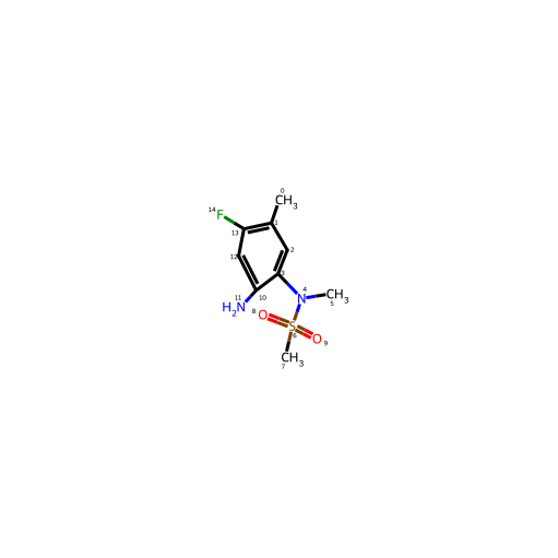 Cc1cc(N(C)S(C)(=O)=O)c(N)cc1F